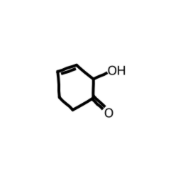 O=C1CCC=CC1O